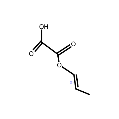 C/C=C/OC(=O)C(=O)O